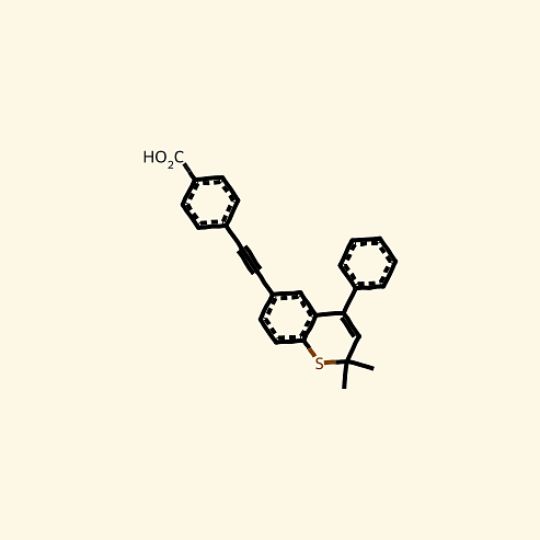 CC1(C)C=C(c2ccccc2)c2cc(C#Cc3ccc(C(=O)O)cc3)ccc2S1